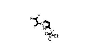 CCS(=O)(=O)Oc1ccn(C(F)C(F)F)n1